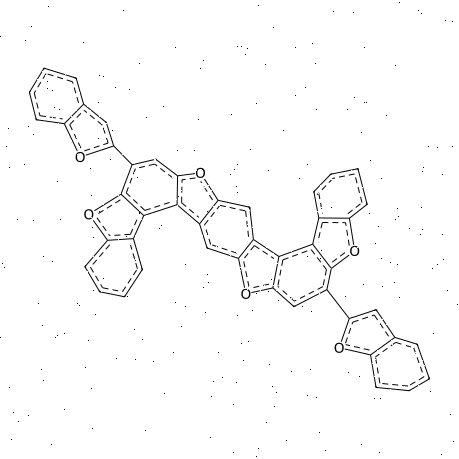 c1ccc2oc(-c3cc4oc5cc6c(cc5c4c4c3oc3ccccc34)oc3cc(-c4cc5ccccc5o4)c4oc5ccccc5c4c36)cc2c1